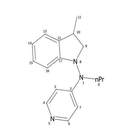 CCCN(c1ccncc1)N1CC(C)c2ccccc21